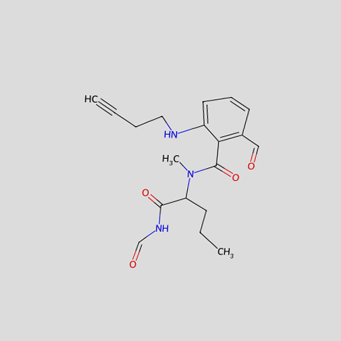 C#CCCNc1cccc(C=O)c1C(=O)N(C)C(CCC)C(=O)NC=O